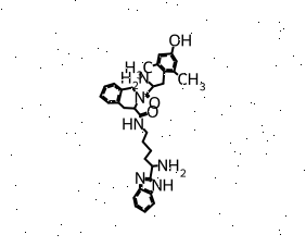 Cc1cc(O)cc(C)c1CC(N)C(=O)N1Cc2ccccc2CC1C(=O)NCCCCC(N)c1nc2ccccc2[nH]1